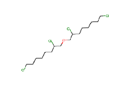 ClCCCCCCC(Cl)COCC(Cl)CCCCCCCl